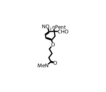 CCCCCC1(C=O)CC(OCCCC(=O)NC)=CC=C1[N+](=O)[O-]